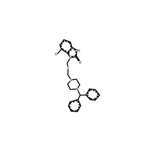 O=c1[nH]c2cccc(Cl)c2n1CCCN1CCN(C(c2ccccc2)c2ccccc2)CC1